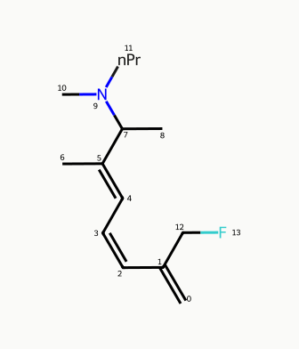 C=C(/C=C\C=C(/C)C(C)N(C)CCC)CF